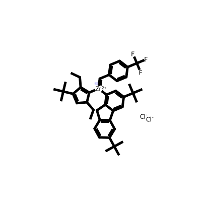 CCC1=[C](/[Zr+2](=[CH]/c2ccc(C(F)(F)F)cc2)[c]2cc(C(C)(C)C)cc3c2Cc2ccc(C(C)(C)C)cc2-3)C(CC)C=C1C(C)(C)C.[Cl-].[Cl-]